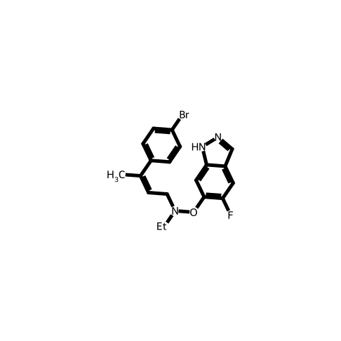 CCN(CC=C(C)c1ccc(Br)cc1)Oc1cc2[nH]ncc2cc1F